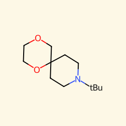 CC(C)(C)N1CCC2(CC1)COCCO2